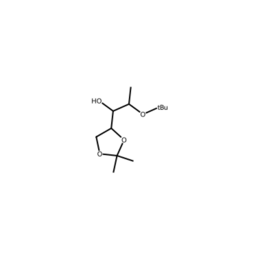 CC(OC(C)(C)C)C(O)C1COC(C)(C)O1